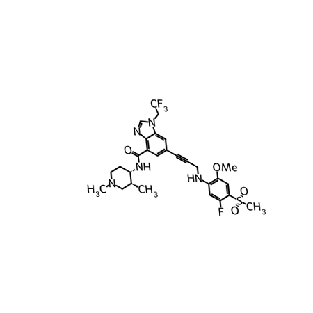 COc1cc(S(C)(=O)=O)c(F)cc1NCC#Cc1cc(C(=O)N[C@H]2CCN(C)C[C@@H]2C)c2ncn(CC(F)(F)F)c2c1